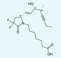 CCC#C[C@@H](C)[C@@H](O)/C=C/[C@H]1CC(F)(F)C(=O)N1CCCCCCC(=O)O